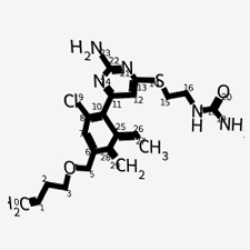 C=CCCOCc1cc(Cl)c(-c2cc(SCCNC(N)=O)nc(N)n2)/c(=C/C)c1=C